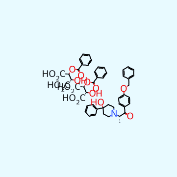 C[C@@H](C(=O)c1ccc(OCc2ccccc2)cc1)N1CCC(O)(c2ccccc2)CC1.O=C(O[C@H](C(=O)O)[C@H](O)C(=O)O)c1ccccc1.O=C(O[C@H](C(=O)O)[C@H](O)C(=O)O)c1ccccc1